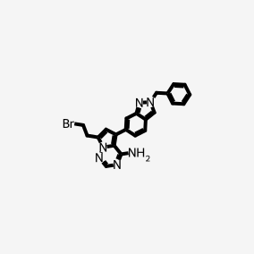 Nc1ncnn2c(CCBr)cc(-c3ccc4cn(Cc5ccccc5)nc4c3)c12